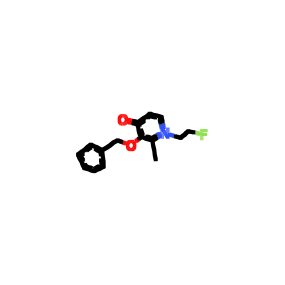 Cc1c(OCc2ccccc2)c(=O)ccn1CCF